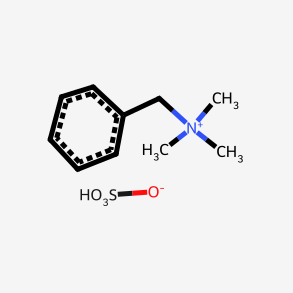 C[N+](C)(C)Cc1ccccc1.O=S(=O)([O-])O